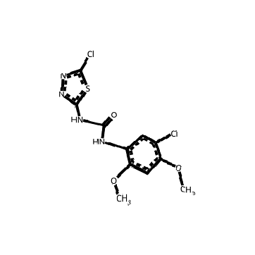 COc1cc(OC)c(NC(=O)Nc2nnc(Cl)s2)cc1Cl